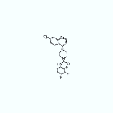 O=C(Nc1ccc(F)c(F)c1F)N1CCN(c2ccnc3cc(Cl)ccc23)CC1